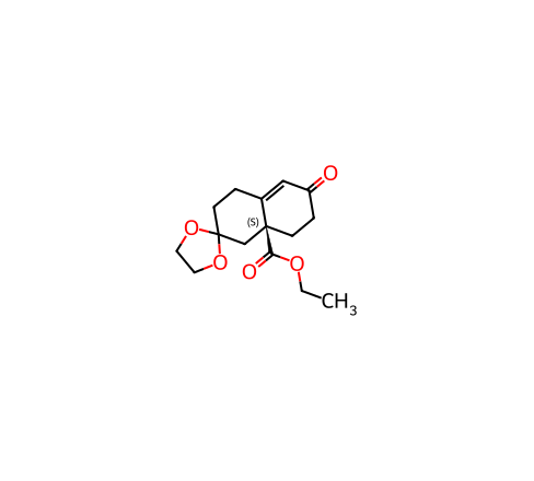 CCOC(=O)[C@]12CCC(=O)C=C1CCC1(C2)OCCO1